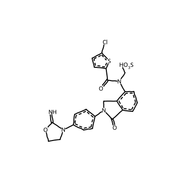 N=C1OCCN1c1ccc(N2Cc3c(cccc3N(CS(=O)(=O)O)C(=O)c3ccc(Cl)s3)C2=O)cc1